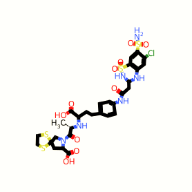 C[C@H](NC(CCc1ccc(NC(=O)CC2Nc3cc(Cl)c(S(N)(=O)=O)cc3S(=O)(=O)N2)cc1)C(=O)O)C(=O)N1CC2(CC1C(=O)O)SCCS2